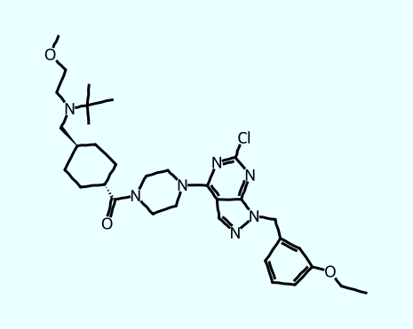 CCOc1cccc(Cn2ncc3c(N4CCN(C(=O)[C@H]5CC[C@H](CN(CCOC)C(C)(C)C)CC5)CC4)nc(Cl)nc32)c1